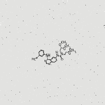 C#Cc1cccc(Nc2ncnc3ccc(NC(=O)N(CCOC)CC(OC)OC)cc23)c1